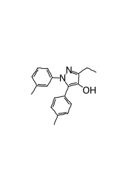 CCc1nn(-c2cccc(C)c2)c(-c2ccc(C)cc2)c1O